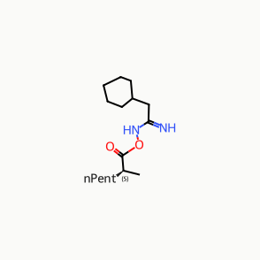 CCCCC[C@H](C)C(=O)ONC(=N)CC1CCCCC1